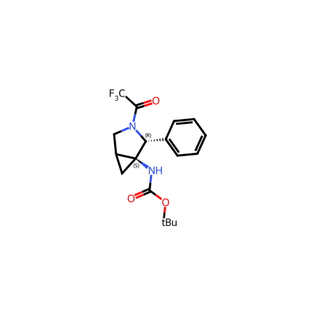 CC(C)(C)OC(=O)N[C@@]12CC1CN(C(=O)C(F)(F)F)[C@@H]2c1ccccc1